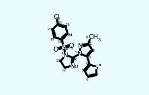 Cc1cc(-c2cccs2)n(C2=NCCN2S(=O)(=O)c2ccc(Cl)cc2)n1